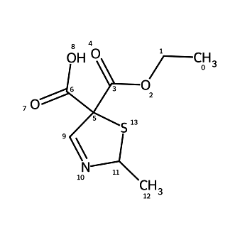 CCOC(=O)C1(C(=O)O)C=NC(C)S1